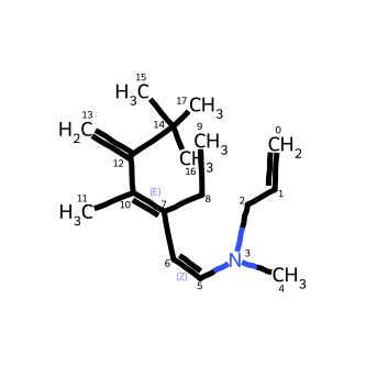 C=CCN(C)/C=C\C(CC)=C(/C)C(=C)C(C)(C)C